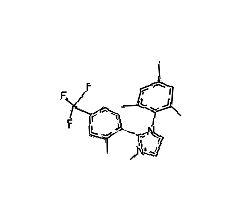 Cc1cc(C)c(-n2cc[n+](C)c2-c2ccc(C(F)(F)F)cc2C)c(C)c1